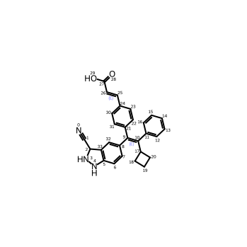 N#CC1NNc2ccc(/C(=C(/c3ccccc3)C3CCC3)c3ccc(/C=C/C(=O)O)cc3)cc21